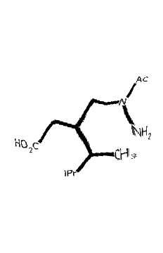 CC(=O)N(N)CC(CC(=O)O)C(C)C(C)C